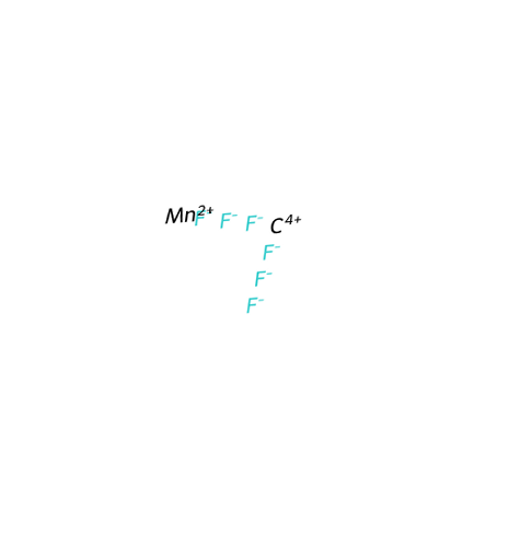 [C+4].[F-].[F-].[F-].[F-].[F-].[F-].[Mn+2]